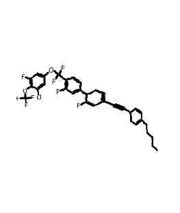 CCCCCC1=CCC(C#CC2=CCC(c3ccc(C(F)(F)Oc4cc(F)c(OC(F)(F)F)c(Cl)c4)c(F)c3)C(F)=C2)C=C1